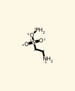 NCCS(=O)(=O)OP